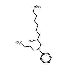 CCCCCCCCCCCCCCCCC(O)CN(CCCC(=O)O)c1ccccc1